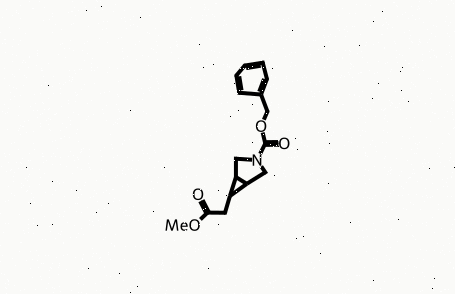 COC(=O)CC1C2CN(C(=O)OCc3ccccc3)CC12